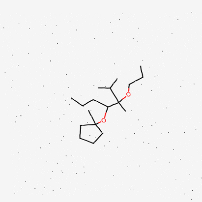 CCCOC(C)(C(C)C)C(CCC)OC1(C)CCCC1